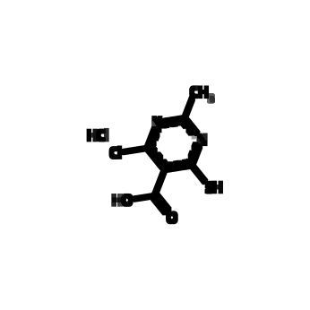 Cc1nc(S)c(C(=O)O)c(Cl)n1.Cl